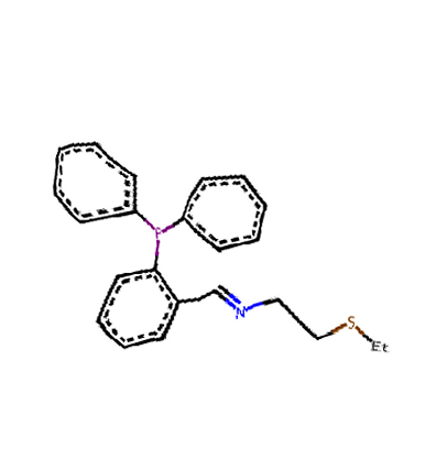 CCSCCN=Cc1ccccc1P(c1ccccc1)c1ccccc1